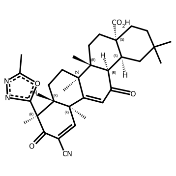 Cc1nnc([C@]2(C)C(=O)C(C#N)=C[C@]3(C)C4=CC(=O)[C@@H]5[C@@H]6CC(C)(C)CC[C@]6(C(=O)O)CC[C@@]5(C)[C@]4(C)CC[C@@H]23)o1